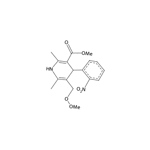 COOCC1=C(C)NC(C)=C(C(=O)OC)C1c1ccccc1[N+](=O)[O-]